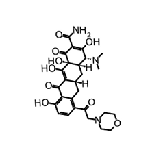 CN(C)[C@H]1C(O)=C(C(N)=O)C(=O)[C@@]2(O)C(O)=C3C(=O)c4c(O)ccc(C(=O)CN5CCOCC5)c4C[C@H]3C[C@@H]12